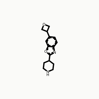 c1cc2nc(C3CCNCC3)oc2cc1C1COC1